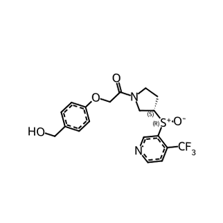 O=C(COc1ccc(CO)cc1)N1CC[C@H]([S@+]([O-])c2cnccc2C(F)(F)F)C1